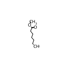 [CH]CCCCCC(=O)OC